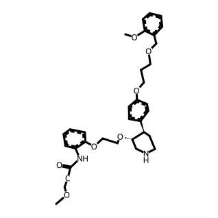 COCCC(=O)Nc1ccccc1OCCO[C@H]1CNCC[C@@H]1c1ccc(OCCCOCc2ccccc2OC)cc1